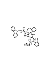 CC(C)(C)OC(=O)[C@@H](NC(=O)[C@@H]1Cc2cccc3c2N1C(=O)[C@@H](NC(=O)OCC1c2ccccc2-c2ccccc21)CC3)c1ccccc1